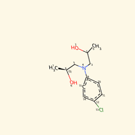 CC(O)CN(C[C@H](C)O)c1ccc(Cl)cc1